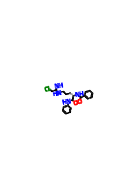 N=C(CCl)NCCC[C@H](NC(=O)c1ccccc1)C(=O)Nc1ccccc1